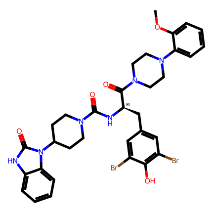 COc1ccccc1N1CCN(C(=O)[C@@H](Cc2cc(Br)c(O)c(Br)c2)NC(=O)N2CCC(n3c(=O)[nH]c4ccccc43)CC2)CC1